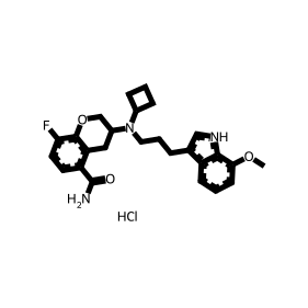 COc1cccc2c(CCCN(C3CCC3)C3COc4c(F)ccc(C(N)=O)c4C3)c[nH]c12.Cl